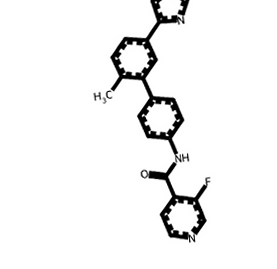 Cc1ccc(-c2cocn2)cc1-c1ccc(NC(=O)c2ccncc2F)cc1